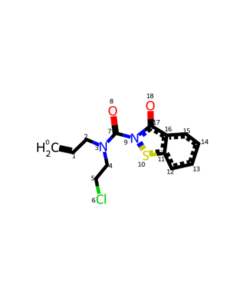 C=CCN(CCCl)C(=O)n1sc2ccccc2c1=O